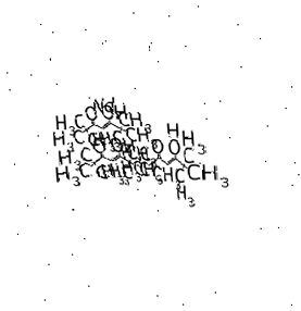 CC(C)(C)C(=O)C=C(O)C(C)(C)C.CC(C)(C)C(=O)C=C(O)C(C)(C)C.CC(C)(C)C(=O)C=C(O)C(C)(C)C.[Nd]